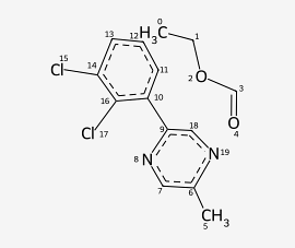 CCOC=O.Cc1cnc(-c2cccc(Cl)c2Cl)cn1